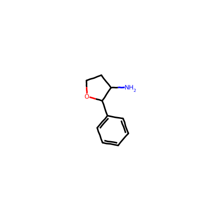 NC1CCOC1c1ccccc1